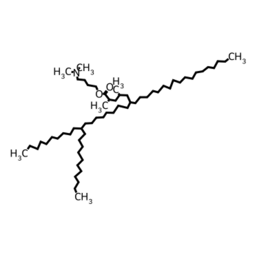 CCCCCCCCCCCCCCCCCCC(CCCCCCCCC(CCCCCCCCCC)CCCCCCCCCCC)CC(C)CC(C)C(=O)OCCCCN(C)C